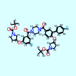 CC(C)(C)OC(=O)N1CC[C@@H](Oc2cc(F)cc(C(=O)N3CCN(C(=O)c4ccc(O[C@H]5CCN(C(=O)OC(C)(C)C)C5)c(-c5ccc(F)cc5)c4)CC3)c2)C1